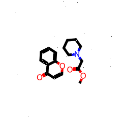 COC(=O)CN1CCCCC1.O=c1ccoc2ccccc12